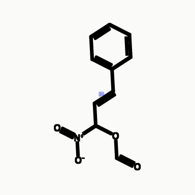 O=COC(/C=C/c1ccccc1)[N+](=O)[O-]